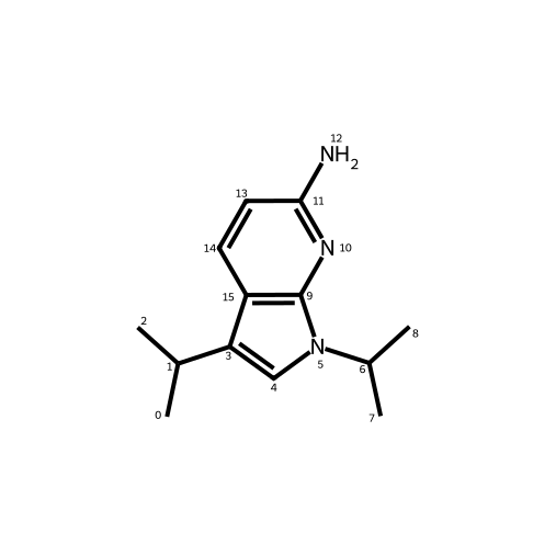 CC(C)c1cn(C(C)C)c2nc(N)ccc12